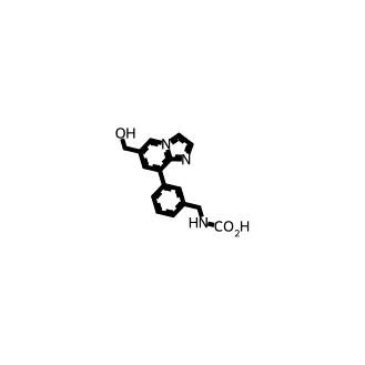 O=C(O)NCc1cccc(-c2cc(CO)cn3ccnc23)c1